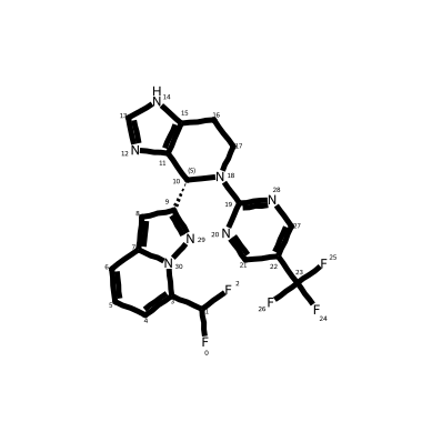 FC(F)c1cccc2cc([C@@H]3c4nc[nH]c4CCN3c3ncc(C(F)(F)F)cn3)nn12